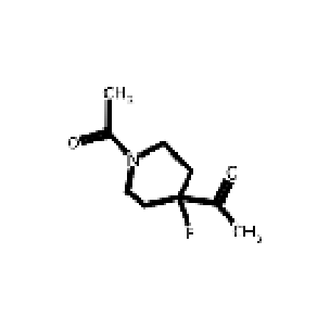 CC(=O)N1CCC(F)(C(C)=O)CC1